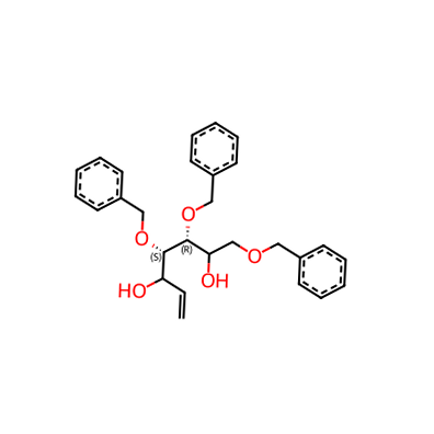 C=CC(O)[C@H](OCc1ccccc1)[C@H](OCc1ccccc1)C(O)COCc1ccccc1